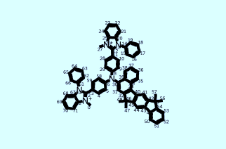 C[n+]1c(-c2ccc(N(c3ccc(-c4n(-c5ccccc5)c5ccccc5[n+]4C)cc3)c3cc4c(c5ccccc35)-c3cc5c(cc3C4(C)C)-c3ccccc3C5(C)C)cc2)n(-c2ccccc2)c2ccccc21